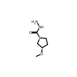 CO[C@@H]1CCN(C(=O)NN)C1